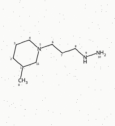 CC1CCCN(CCCNN)C1